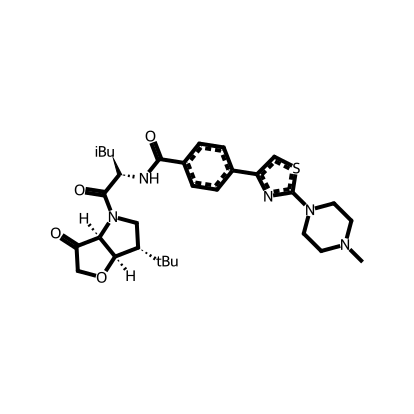 CC[C@H](C)[C@H](NC(=O)c1ccc(-c2csc(N3CCN(C)CC3)n2)cc1)C(=O)N1C[C@H](C(C)(C)C)[C@H]2OCC(=O)[C@H]21